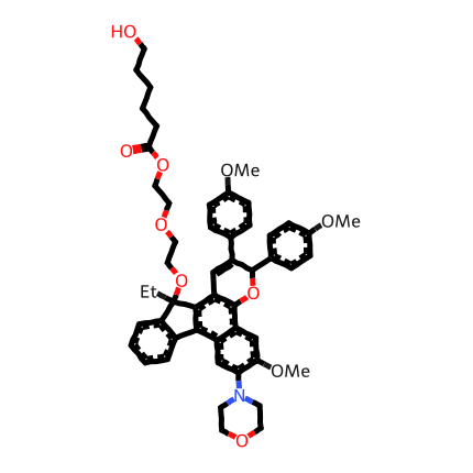 CCC1(OCCOCCOC(=O)CCCCCO)c2ccccc2-c2c1c1c(c3cc(OC)c(N4CCOCC4)cc23)OC(c2ccc(OC)cc2)C(c2ccc(OC)cc2)=C1